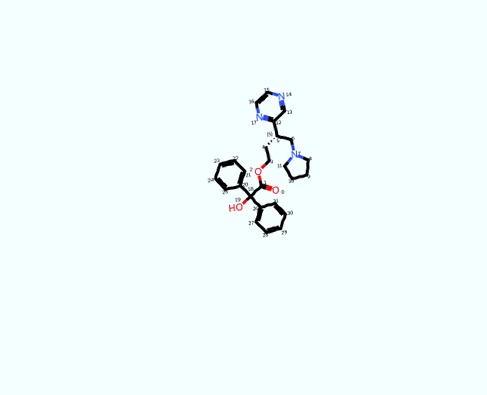 O=C(OCC[C@@H](CN1CCCC1)c1cnccn1)C(O)(c1ccccc1)c1ccccc1